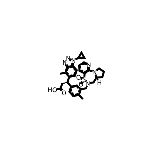 Cc1ccc([C@@H](CC(=O)O)c2ccc3c(nnn3C3CC3)c2C)cc1CN1C[C@H]2CCCN2c2ncccc2S1(=O)=O